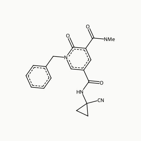 CNC(=O)c1cc(C(=O)NC2(C#N)CC2)cn(Cc2ccccc2)c1=O